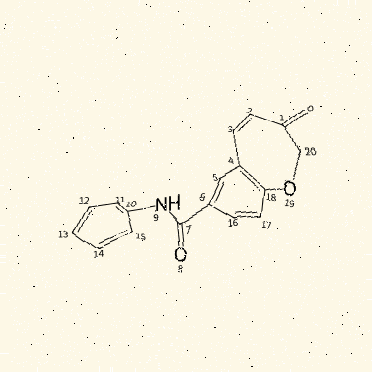 C=C1C=Cc2cc(C(=O)Nc3ccccc3)ccc2OC1